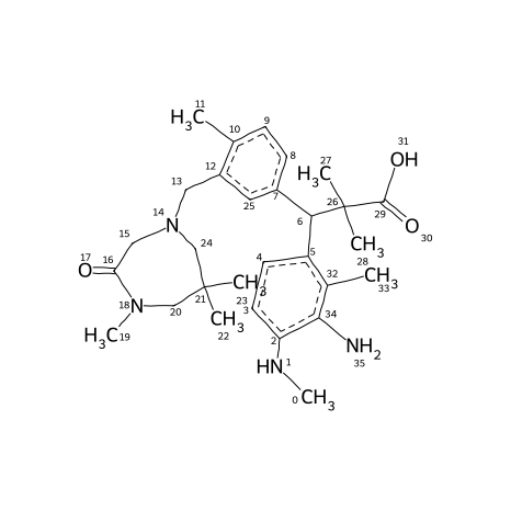 CNc1ccc(C(c2ccc(C)c(CN3CC(=O)N(C)CC(C)(C)C3)c2)C(C)(C)C(=O)O)c(C)c1N